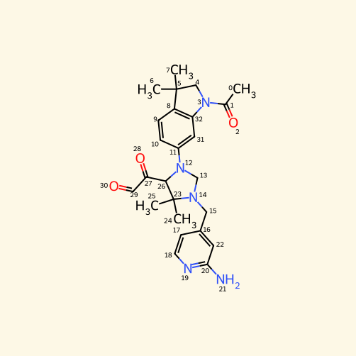 CC(=O)N1CC(C)(C)c2ccc(N3CN(Cc4ccnc(N)c4)C(C)(C)C3C(=O)C=O)cc21